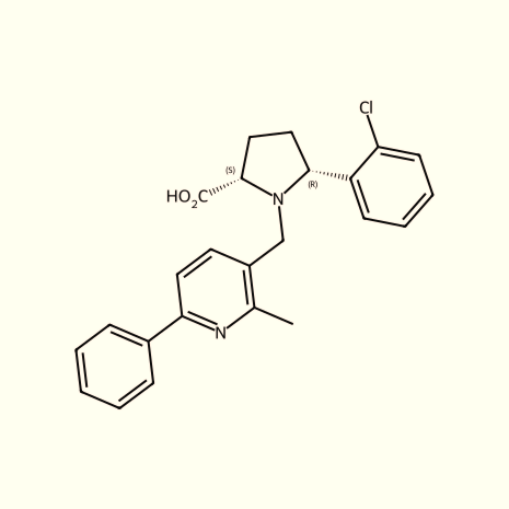 Cc1nc(-c2ccccc2)ccc1CN1[C@@H](c2ccccc2Cl)CC[C@H]1C(=O)O